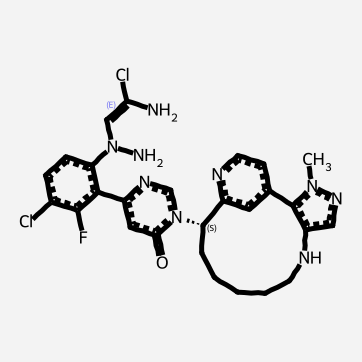 Cn1ncc2c1-c1ccnc(c1)[C@@H](n1cnc(-c3c(N(N)/C=C(\N)Cl)ccc(Cl)c3F)cc1=O)CCCCCN2